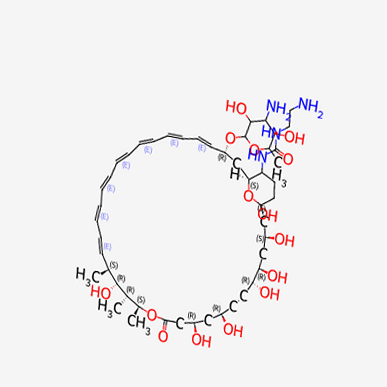 CC1OC(O[C@H]2/C=C/C=C/C=C/C=C/C=C/C=C/C=C/[C@H](C)[C@@H](O)[C@@H](C)[C@H](C)OC(=O)C[C@H](O)C[C@H](O)CC[C@@H](O)[C@H](O)C[C@H](O)C[C@]3(O)CCC(NC(=O)NCCN)[C@H](C2)O3)C(O)C(N)C1O